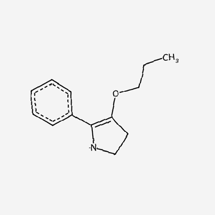 CCCOC1=C(c2ccccc2)[N]CC1